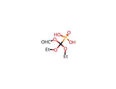 CCOC(O[C]=O)(OCC)P(=O)(O)O